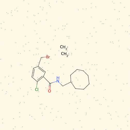 O=C(NC[C]1CCCCCCC1)c1cc(CBr)ccc1Cl.[CH2].[CH2]